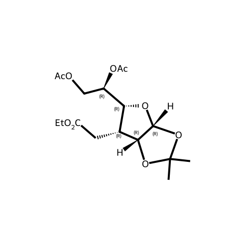 CCOC(=O)C[C@@H]1[C@H]([C@@H](COC(C)=O)OC(C)=O)O[C@@H]2OC(C)(C)O[C@@H]21